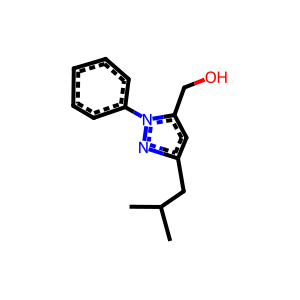 CC(C)Cc1cc(CO)n(-c2ccccc2)n1